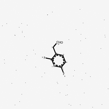 O=CCc1ccc(F)nc1F